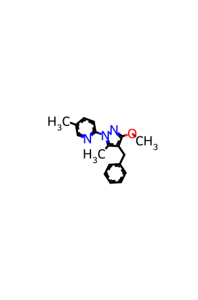 COc1nn(-c2ccc(C)cn2)c(C)c1Cc1ccccc1